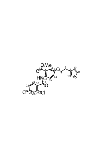 COC(=O)c1cc(OCCc2ccsc2)ccc1NC(=O)c1ccc(Cl)cc1Cl